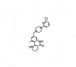 Cc1cc(CN2CCN(c3cccc(Cl)n3)CC2)cc2[nH]c(=O)c3c(c12)NCCC3